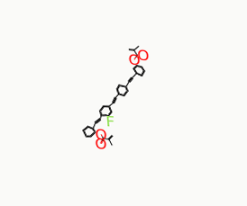 C=C(C)C(=O)Oc1cccc(C#Cc2ccc(C#Cc3ccc(C#Cc4ccccc4OC(=O)C(=C)C)c(F)c3)cc2)c1